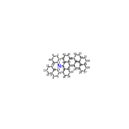 c1ccc(N(c2cccc3ccccc23)c2c3ccccc3c(-c3cc4cccc5ccc6cccc3c6c54)c3ccccc23)cc1